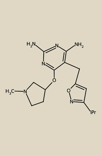 CC(C)c1cc(Cc2c(N)nc(N)nc2OC2CCN(C)C2)on1